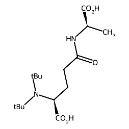 C[C@@H](NC(=O)CC[C@@H](C(=O)O)N(C(C)(C)C)C(C)(C)C)C(=O)O